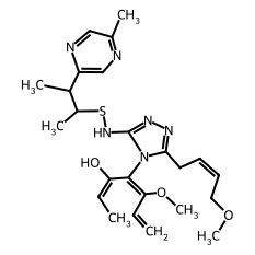 C=C/C(OC)=C(\C(O)=C/C)n1c(C/C=C\COC)nnc1NSC(C)C(C)c1cnc(C)cn1